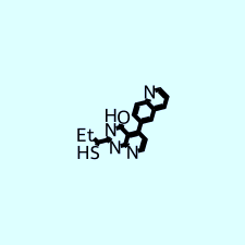 CCC(S)c1nc2nccc(-c3ccc4ncccc4c3)c2c(=O)[nH]1